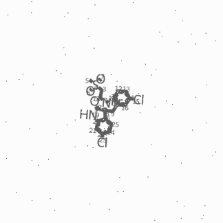 CC(C)N(CCS(C)(=O)=O)C1(Cc2cccc(Cl)c2)C(=O)Nc2cc(Cl)ccc21